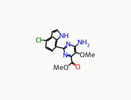 COC(=O)c1nc(-c2ccc(Cl)c3cc[nH]c23)nc(N)c1OC